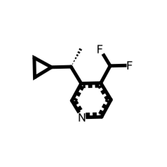 C[C@H](c1cnccc1C(F)F)C1CC1